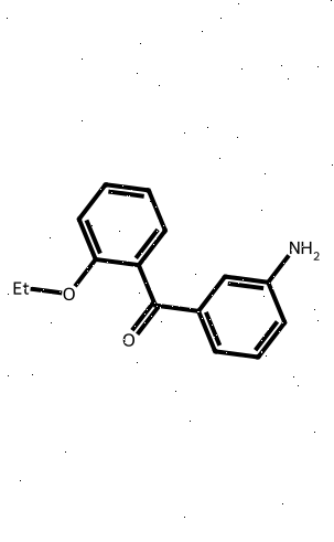 CCOc1ccccc1C(=O)c1cccc(N)c1